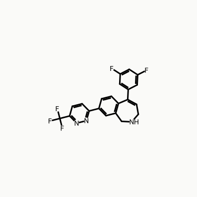 Fc1cc(F)cc(C2=CCNCc3cc(-c4ccc(C(F)(F)F)nn4)ccc32)c1